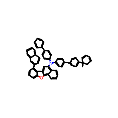 CC1(c2ccc(-c3ccc(N(c4ccc(-c5ccccc5)cc4)c4cc5c(oc6cccc(-c7ccc8ccccc8c7)c65)c5ccccc45)cc3)cc2)C=CC=CC1